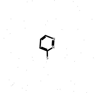 [S]c1cccnn1